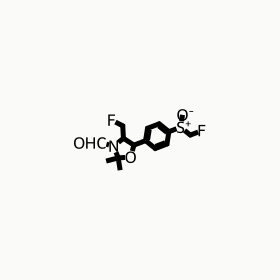 CC1(C)OC(c2ccc([S+]([O-])CF)cc2)C(CF)N1C=O